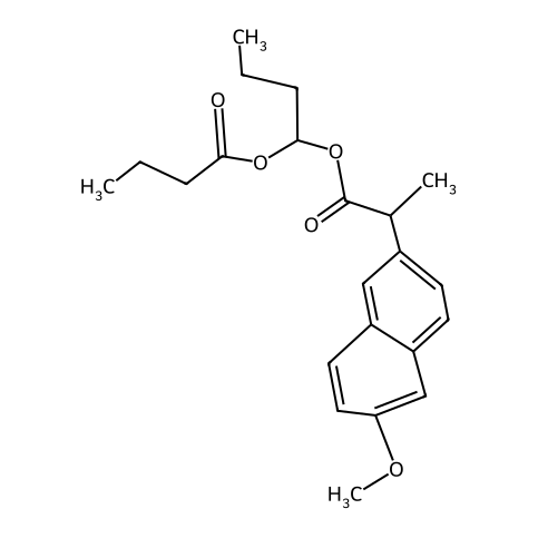 CCCC(=O)OC(CCC)OC(=O)C(C)c1ccc2cc(OC)ccc2c1